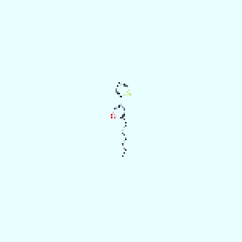 CCCCCCc1cc(-c2cccs2)co1